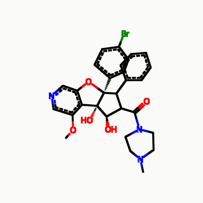 COc1cncc2c1[C@]1(O)[C@H](O)C(C(=O)N3CCN(C)CC3)C(c3ccccc3)[C@]1(c1ccc(Br)cc1)O2